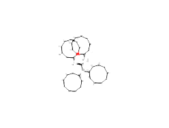 C1CCCCC(N=C(NC2CCCCCCCC2)N(C2CCCCCCCC2)C2CCCCCCCC2)CCC1